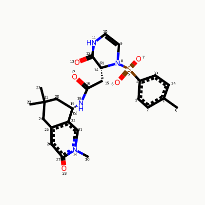 Cc1ccc(S(=O)(=O)N2C=CNC(=O)[C@H]2CC(=O)N[C@H]2CC(C)(C)Cc3cc(=O)n(C)cc32)cc1